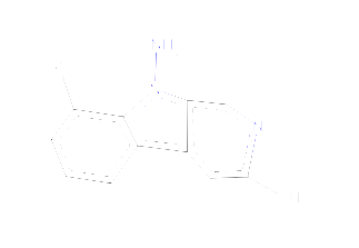 Cc1cc2c3cccc(C)c3n(N)c2cn1